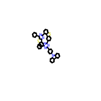 c1ccc(-c2nc(-c3ccc(-n4c5ccccc5c5ccccc54)cc3)nc(-c3ccc4sc5cccc(-c6nc(-c7ccccc7)c7sc8ccccc8c7n6)c5c4c3)n2)cc1